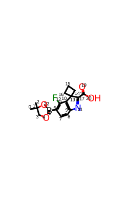 CC1(C)COB(c2ccc3c(c2F)C2(CCC2)C(C(=O)O)=N3)O1